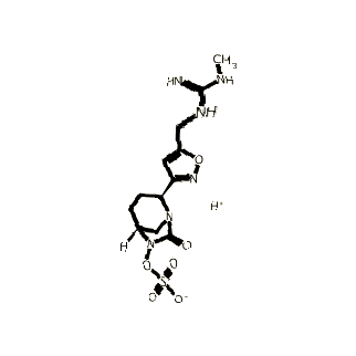 CNC(=N)NCc1cc([C@@H]2CC[C@@H]3CN2C(=O)N3OS(=O)(=O)[O-])no1.[H+]